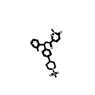 Cc1ccccc1C(CC(=O)c1ccc(=O)n(C)n1)c1ccc(C2CCN(S(C)(=O)=O)CC2)cc1